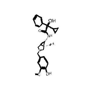 COc1cc(CN2CC3[C@H](C2)[C@H]3NC(=O)C(O)(c2ccccc2)C2CC2)ccc1O